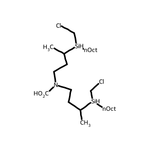 CCCCCCCC[SiH](CCl)C(C)CCN(CCC(C)[SiH](CCl)CCCCCCCC)C(=O)O